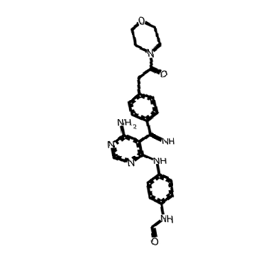 N=C(c1ccc(CC(=O)N2CCOCC2)cc1)c1c(N)ncnc1Nc1ccc(NC=O)cc1